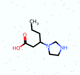 CCCC(CC(=O)O)N1CCNC1